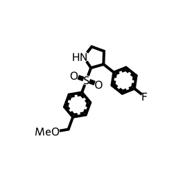 COCc1ccc(S(=O)(=O)C2NCCC2c2ccc(F)cc2)cc1